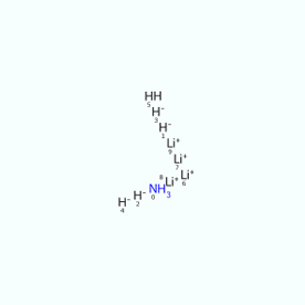 N.[H-].[H-].[H-].[H-].[HH].[Li+].[Li+].[Li+].[Li+]